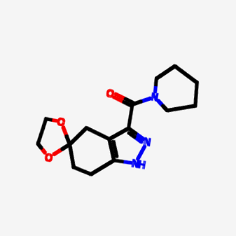 O=C(c1n[nH]c2c1CC1(CC2)OCCO1)N1CCCCC1